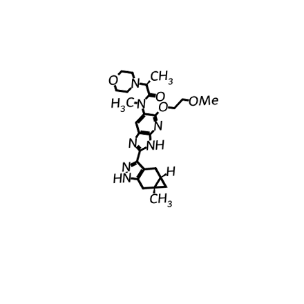 COCCOc1nc2[nH]c(-c3n[nH]c4c3C[C@@H]3C[C@]3(C)C4)nc2cc1N(C)C(=O)[C@H](C)N1CCOCC1